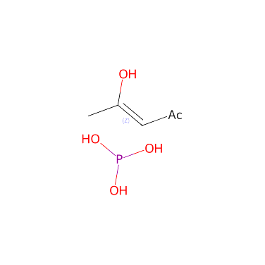 CC(=O)/C=C(/C)O.OP(O)O